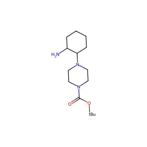 CC(C)(C)OC(=O)N1CCN(C2CCCCC2N)CC1